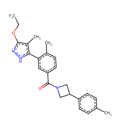 Cc1ccc(C2CN(C(=O)c3ccc(C)c(-c4[nH]nc(OCC(F)(F)F)c4C)c3)C2)cc1